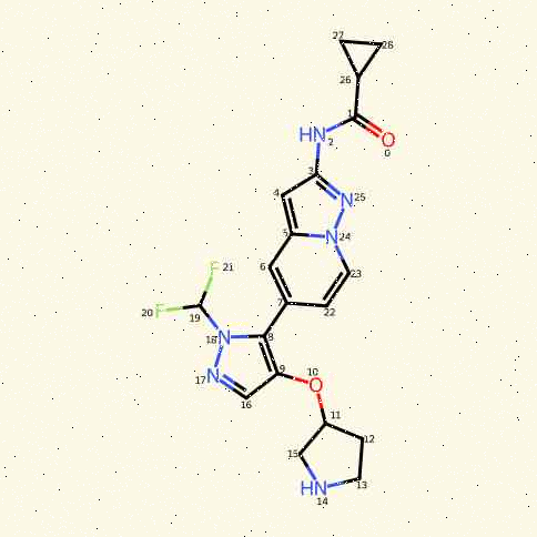 O=C(Nc1cc2cc(-c3c(OC4CCNC4)cnn3C(F)F)ccn2n1)C1CC1